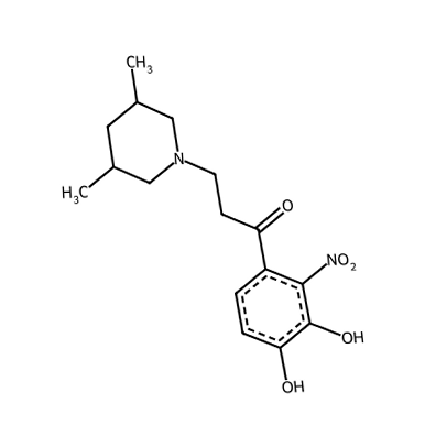 CC1CC(C)CN(CCC(=O)c2ccc(O)c(O)c2[N+](=O)[O-])C1